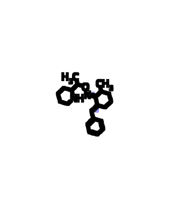 CC1CCCC(=C\c2ccccc2)/C1=N/OC(C)C1CCCCN1